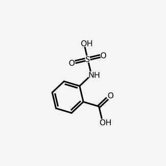 O=C(O)c1ccccc1NS(=O)(=O)O